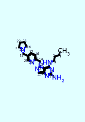 CCCCNc1nc(N)nc2cnn(Cc3ccc(CN4CCCC4)cn3)c12